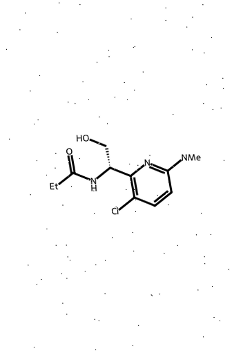 CCC(=O)N[C@H](CO)c1nc(NC)ccc1Cl